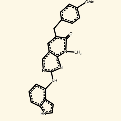 COc1ccc(Cc2cc3cnc(Nc4cccc5[nH]ccc45)nc3n(C)c2=O)cc1